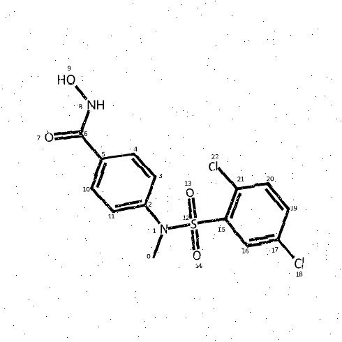 CN(c1ccc(C(=O)NO)cc1)S(=O)(=O)c1cc(Cl)ccc1Cl